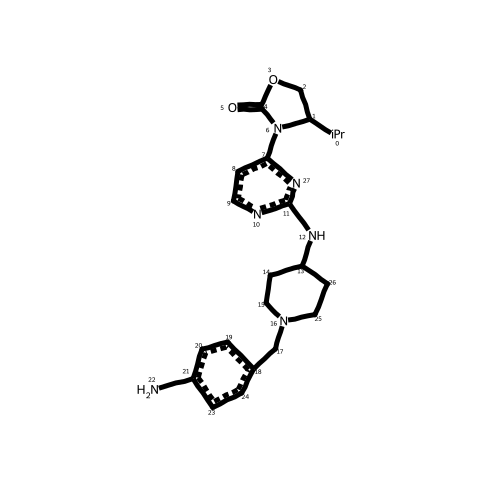 CC(C)C1COC(=O)N1c1ccnc(NC2CCN(Cc3ccc(N)cc3)CC2)n1